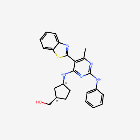 Cc1nc(Nc2ccccc2)nc(N[C@H]2CC[C@@H](CO)C2)c1-c1nc2ccccc2s1